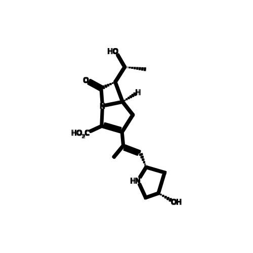 CC(=C[C@@H]1C[C@H](O)CN1)C1=C(C(=O)O)N2C(=O)[C@H]([C@@H](C)O)[C@H]2C1